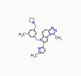 Cc1cc(CN2CCC2)cc(Cn2c(-c3ccn(C)n3)cc3c2ccc2nnc(C)n23)c1